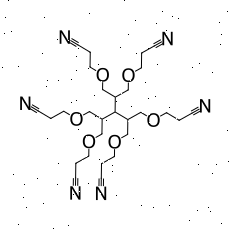 N#CCCOCC(COCCC#N)C(C(COCCC#N)COCCC#N)C(COCCC#N)COCCC#N